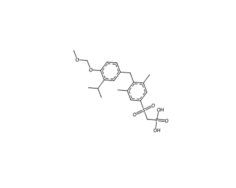 COCOc1ccc(Cc2c(C)cc(S(=O)(=O)CP(=O)(O)O)cc2C)cc1C(C)C